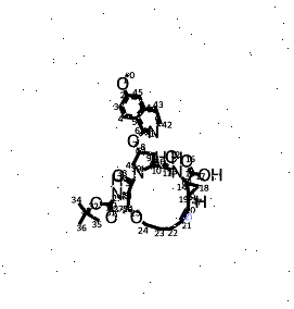 COc1ccc2c(O[C@@H]3C[C@H]4C(=O)N[C@]5(C(=O)O)C[C@H]5/C=C\CCCO[C@H](C)[C@H](NC(=O)OC(C)(C)C)C(=O)N4C3)nccc2c1